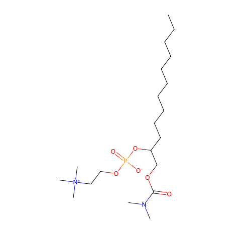 CCCCCCCCCCC(COC(=O)N(C)C)OP(=O)([O-])OCC[N+](C)(C)C